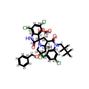 CC(C)(C)C(C)(C)CN(C(=O)C1[C@H]2C[C@](C)(OCc3ccccc3)CN2[C@]2(C(=O)Nc3c(Cl)cc(Cl)cc32)[C@@H]1C(=O)O)c1cc(Cl)cc(Cl)c1